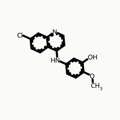 COc1ccc(Nc2ccnc3cc(Cl)ccc23)cc1O